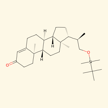 C[C@@H](CO[Si](C)(C)C(C)(C)C)[C@H]1CC[C@H]2[C@@H]3CCC4=CC(=O)CC[C@]4(C)[C@H]3CC[C@]12C